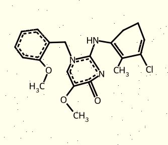 COc1ccccc1Cn1cc(OC)c(=O)nc1NC1=C(C)C(Cl)=CCC1